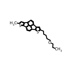 CCCOCCCCCc1cc2c(s1)-c1ccc3c4c(ccc-2c14)-c1cc(C)sc1-3